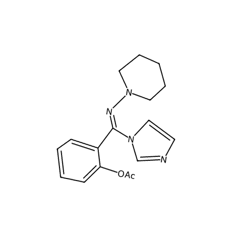 CC(=O)Oc1ccccc1C(=NN1CCCCC1)n1ccnc1